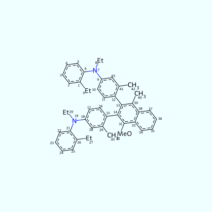 CCc1ccccc1N(CC)c1ccc(-c2c(-c3ccc(N(CC)c4ccccc4CC)cc3C)c(OC)c3ccccc3c2C)c(C)c1